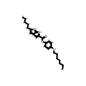 CCCCCCCOc1ccc(OC(=O)c2cc3cc(CCCCC)sc3s2)cc1